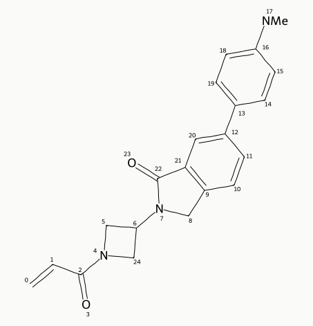 C=CC(=O)N1CC(N2Cc3ccc(-c4ccc(NC)cc4)cc3C2=O)C1